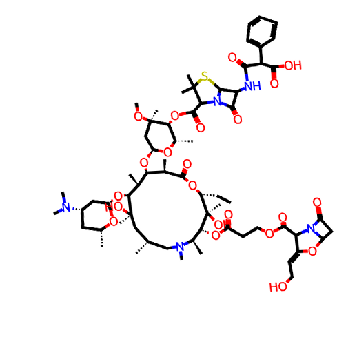 CC[C@H]1OC(=O)[C@H](C)[C@@H](O[C@H]2C[C@@](C)(OC)[C@@H](OC(=O)C3N4C(=O)C(NC(=O)C(C(=O)O)c5ccccc5)C4SC3(C)C)[C@H](C)O2)[C@H](C)[C@@H](O[C@H]2C[C@@H](N(C)C)C[C@@H](C)O2)[C@](C)(O)C[C@@H](C)CN(C)[C@H](C)[C@@H](OC(=O)CCOC(=O)C2/C(=C/CO)OC3CC(=O)N32)[C@]1(C)O